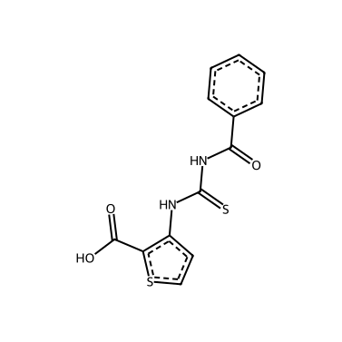 O=C(NC(=S)Nc1ccsc1C(=O)O)c1ccccc1